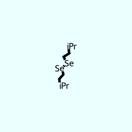 CC(C)CC[Se][Se]CCC(C)C